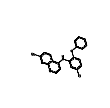 CCc1ccc2c(Nc3cc(Cl)ccc3Oc3ccccc3)ccnc2n1